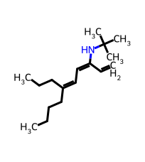 C=C/C(=C\C=C(/CCC)CCCC)NC(C)(C)C